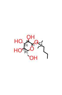 CCCC[Si](C)(C)O[C@H]1O[C@H](CO)[C@@H](O)[C@H](O)[C@H]1O